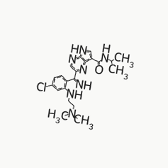 CC(C)NC(=O)c1c[nH]c2ncc(C(=N)c3ccc(Cl)cc3NCCN(C)C)nc12